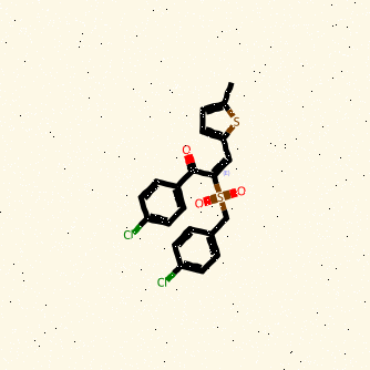 Cc1ccc(/C=C(\C(=O)c2ccc(Cl)cc2)S(=O)(=O)Cc2ccc(Cl)cc2)s1